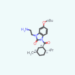 CCCCOc1ccc2c(c1)n(CCN)c(=O)n2C(=O)[C@@H]1C[C@H](C)CC[C@H]1C(C)C